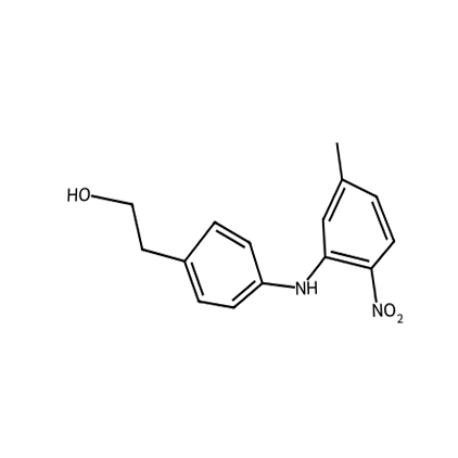 Cc1ccc([N+](=O)[O-])c(Nc2ccc(CCO)cc2)c1